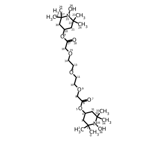 CC1(C)CC(OC(=O)COCCOCCOCC(=O)OC2CC(C)(C)N(O)C(C)(C)C2)CC(C)(C)N1O